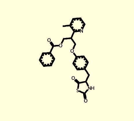 Cc1cccnc1C(COC(=O)c1ccccc1)COc1ccc(CC2NC(=O)SC2=O)cc1